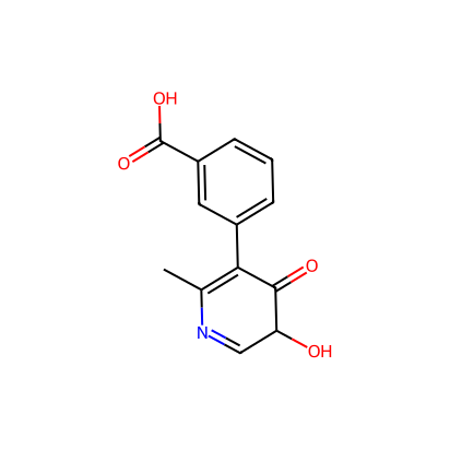 CC1=C(c2cccc(C(=O)O)c2)C(=O)C(O)C=N1